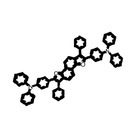 c1ccc(-c2c(-c3ccc(N(c4ccccc4)c4ccccc4)cc3)oc3c2ccc2c3ccc3c(-c4ccccc4)c(-c4ccc(N(c5ccccc5)c5ccccc5)cc4)oc32)cc1